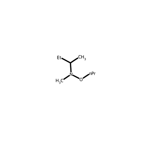 CCCON(C)C(C)CC